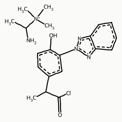 CC(C(=O)Cl)c1ccc(O)c(-n2nc3ccccc3n2)c1.CC(N)[N+](C)(C)C